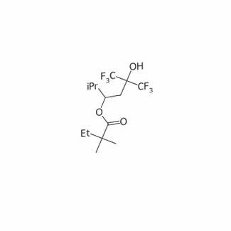 CCC(C)(C)C(=O)OC(CC(O)(C(F)(F)F)C(F)(F)F)C(C)C